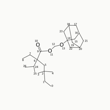 CCC(C)(C)CC(CC)(C(=O)OCOC12CC3CC(CC(C3)C1)C2)C(C)C